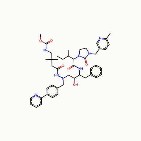 CCC(C)C(C(=O)NC(Cc1ccccc1)C(O)CN(Cc1ccc(-c2ccccn2)cc1)NC(=O)CC(C)(C)CNC(=O)OC)N1CCN(Cc2ccc(C)nc2)C1=O